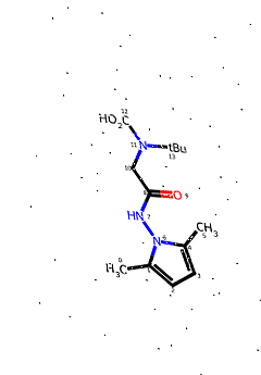 Cc1ccc(C)n1NC(=O)CN(C(=O)O)C(C)(C)C